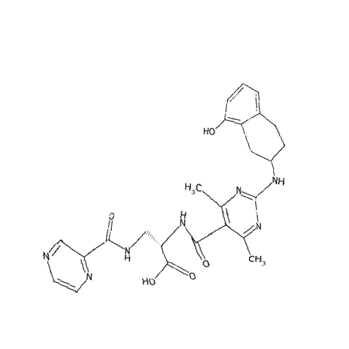 Cc1nc(NC2CCc3cccc(O)c3C2)nc(C)c1C(=O)N[C@@H](CNC(=O)c1cnccn1)C(=O)O